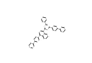 c1ccc(-c2ccc(-c3nc(-c4ccccc4)nc(-c4ccc(-c5ccc(-c6ccncc6)nc5)c5ccccc45)n3)cc2)cc1